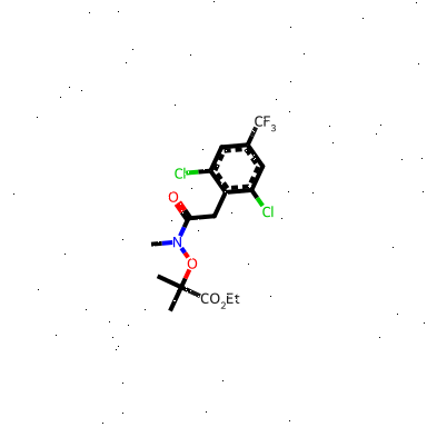 CCOC(=O)C(C)(C)ON(C)C(=O)Cc1c(Cl)cc(C(F)(F)F)cc1Cl